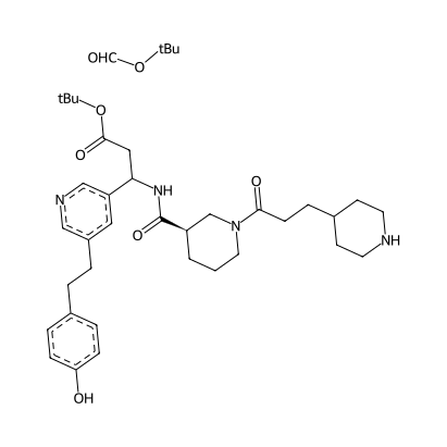 CC(C)(C)OC(=O)CC(NC(=O)[C@@H]1CCCN(C(=O)CCC2CCNCC2)C1)c1cncc(CCc2ccc(O)cc2)c1.CC(C)(C)OC=O